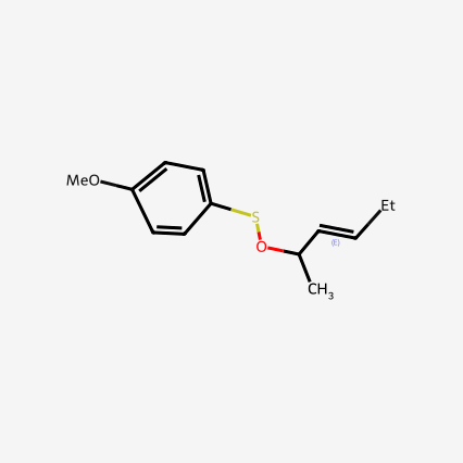 CC/C=C/C(C)OSc1ccc(OC)cc1